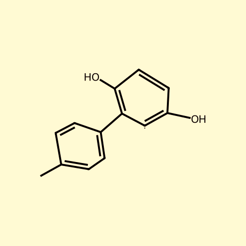 Cc1ccc(-c2[c]c(O)ccc2O)cc1